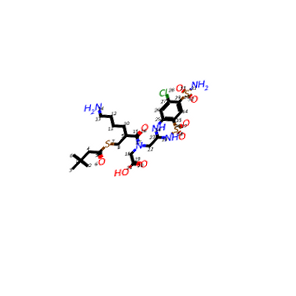 CC(C)(C)CC(=O)SCC(CCCCN)C(=O)N(CC(=O)O)CC1Nc2cc(Cl)c(S(N)(=O)=O)cc2S(=O)(=O)N1